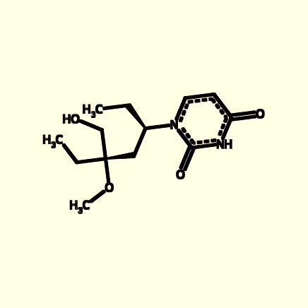 CC[C@H](C[C@@](CC)(CO)OC)n1ccc(=O)[nH]c1=O